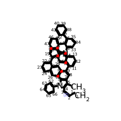 C=C/C=C\c1c(C)c2cc(-c3cccc(N(c4cccc(-c5cccc6ccccc56)c4)c4cccc(-c5ccccc5)c4-c4ccccc4-c4ccccc4)c3)ccc2n1-c1ccccc1